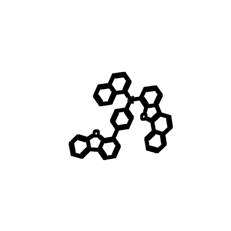 c1ccc2c(N(c3ccc(-c4cccc5c4oc4ccccc45)cc3)c3cccc4c3oc3c5ccccc5ccc43)cccc2c1